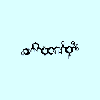 CS(=O)(=O)c1cc(F)cc(C(=O)NCc2cc3nc(-c4cccc(N5CC6CC5CO6)n4)ccc3cn2)c1